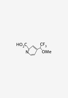 COC(c1ccnc(C(=O)O)c1)C(F)(F)F